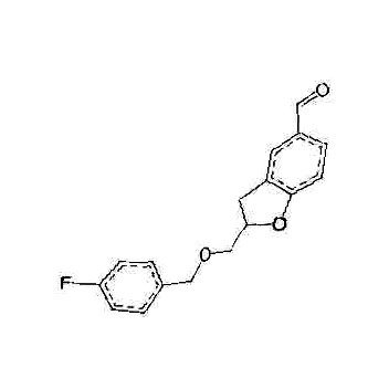 O=Cc1ccc2c(c1)CC(COCc1ccc(F)cc1)O2